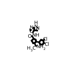 CC(N)c1ccc(C(=O)Nc2ccnc3[nH]ncc23)cc1-c1ccc(Cl)c(Cl)c1